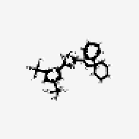 FC(F)(F)c1cc(-c2noc(CCC3(c4ccccc4)CCCCC3)n2)cc(C(F)(F)F)c1